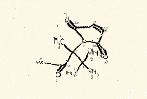 CC(C)(C)C(C)(C(=O)O)N1C(=O)C=CC1=O